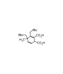 CC(C)(C)CC1=C(C(=O)O)C(C(=O)O)C=CC1(C)CC(C)(C)C